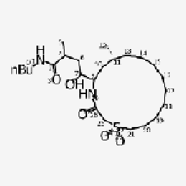 CCCCNC(=O)C(C)CC(O)C1C[C@H](C)CCCCCCCCCS(=O)(=O)CC(=O)N1